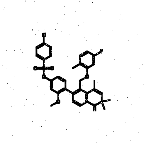 COc1cc(OS(=O)(=O)c2ccc(Cl)cc2)ccc1-c1ccc2c(c1COc1cc(F)ccc1C)C(C)=CC(C)(C)N2